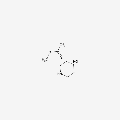 C1CCNCC1.COC(C)=O.Cl